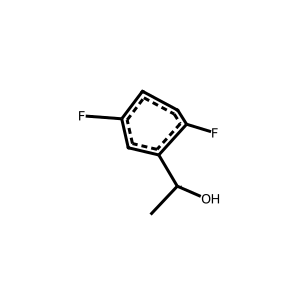 C[C](O)c1cc(F)ccc1F